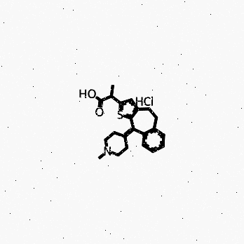 CC(C(=O)O)c1cc2c(s1)C(=C1CCN(C)CC1)c1ccccc1CC2.Cl